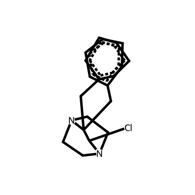 ClC1N2CCN(CC2)C1(Cc1ccccc1)Cc1ccccc1